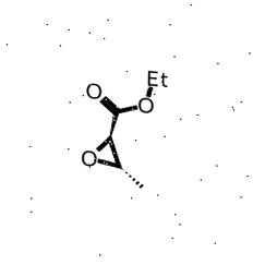 CCOC(=O)[C@@H]1O[C@H]1C